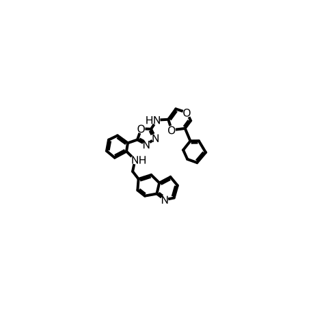 C1=CCCC(C2=COC=C(Nc3nnc(-c4ccccc4NCc4ccc5ncccc5c4)o3)O2)=C1